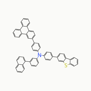 c1cc(-c2cccc3ccccc23)cc(N(c2ccc(-c3ccc4c(c3)sc3ccccc34)cc2)c2ccc(-c3ccc4c5ccccc5c5ccccc5c4c3)cc2)c1